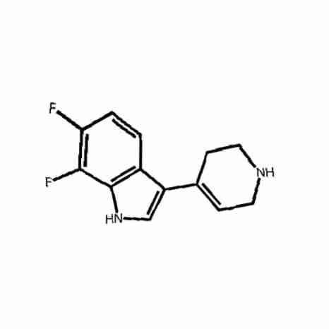 Fc1ccc2c(C3=CCNCC3)c[nH]c2c1F